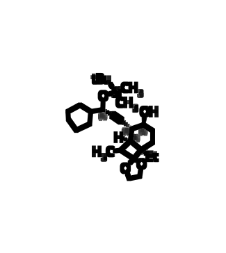 CC[C@@]12CC[C@H](O)[C@@H](C#C[C@@H](O[Si](C)(C)C(C)(C)C)C3CCCCC3)[C@@H]1C(C)C21OCCO1